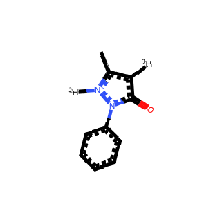 [2H]c1c(C)n([2H])n(-c2ccccc2)c1=O